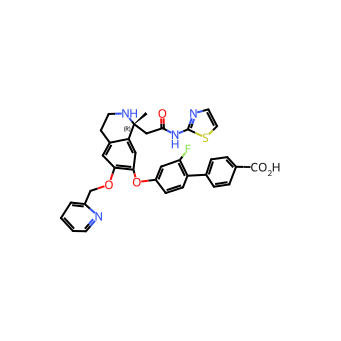 C[C@]1(CC(=O)Nc2nccs2)NCCc2cc(OCc3ccccn3)c(Oc3ccc(-c4ccc(C(=O)O)cc4)c(F)c3)cc21